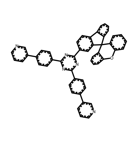 c1cncc(-c2ccc(-c3nc(-c4ccc(-c5cccnc5)cc4)nc(-c4ccc5c(c4)C4(c6ccccc6Oc6ccccc64)c4ccccc4-5)n3)cc2)c1